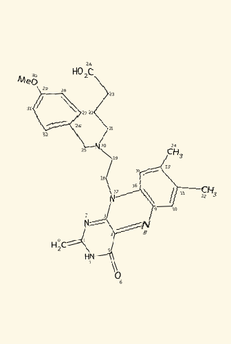 C=c1nc2c(c(=O)[nH]1)=Nc1cc(C)c(C)cc1N2CCN(CCCC(=O)O)Cc1ccc(OC)cc1